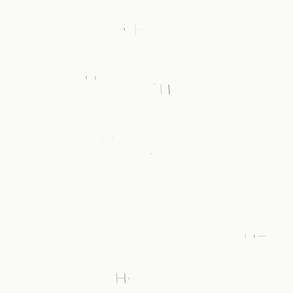 CC(C)OC(C)C.Oc1cc(O)cc(O)c1